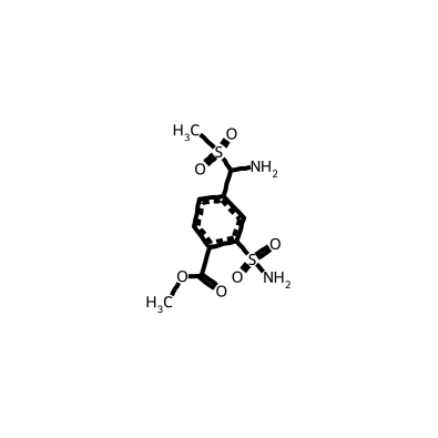 COC(=O)c1ccc(C(N)S(C)(=O)=O)cc1S(N)(=O)=O